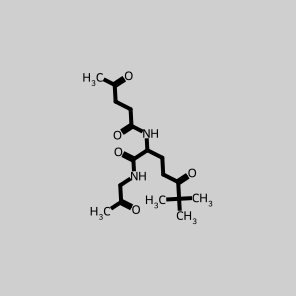 CC(=O)CCC(=O)NC(CCC(=O)C(C)(C)C)C(=O)NCC(C)=O